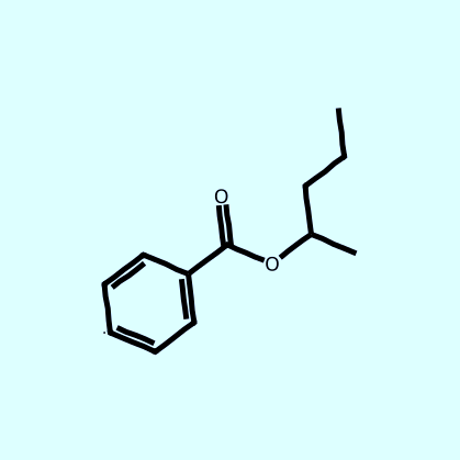 CCCC(C)OC(=O)c1cc[c]cc1